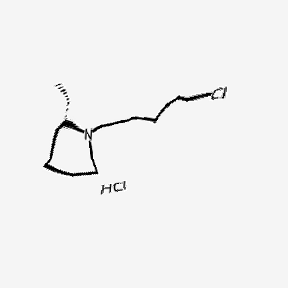 C[C@H]1CCCN1CCCCl.Cl